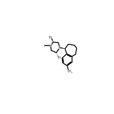 CC[C@H]1CN([C@H]2CCCCc3cc(C(F)(F)F)ccc32)[C@H](CC)CN1I